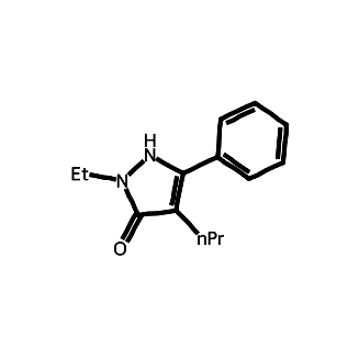 CCCc1c(-c2ccccc2)[nH]n(CC)c1=O